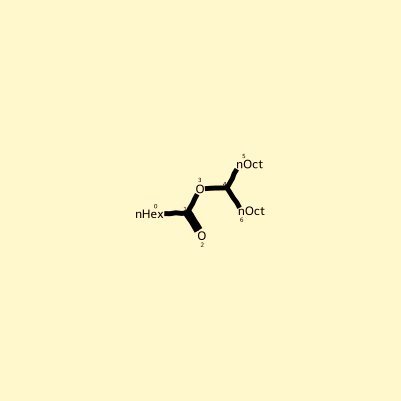 [CH2]CCCCCC(=O)OC(CCCCCCCC)CCCCCCCC